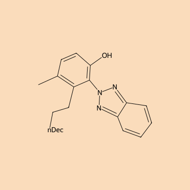 CCCCCCCCCCCCc1c(C)ccc(O)c1-n1nc2ccccc2n1